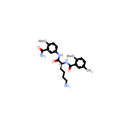 COc1ccc(NC(=O)[C@H](CCCCN)NC(=O)c2cc(C)ccc2OC)cc1C(N)=O